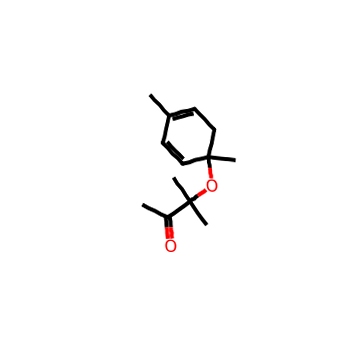 CC(=O)C(C)(C)OC1(C)C=CC(C)=CC1